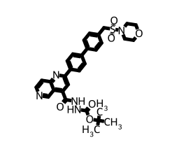 CC(C)(C)OC(=O)NNC(=O)c1cc(-c2ccc(-c3ccc(CS(=O)(=O)N4CCOCC4)cc3)cc2)nc2ccncc12